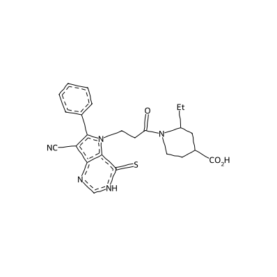 CCC1CC(C(=O)O)CCN1C(=O)CCn1c(-c2ccccc2)c(C#N)c2nc[nH]c(=S)c21